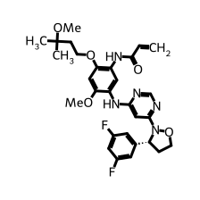 C=CC(=O)Nc1cc(Nc2cc(N3OCC[C@@H]3c3cc(F)cc(F)c3)ncn2)c(OC)cc1OCCC(C)(C)OC